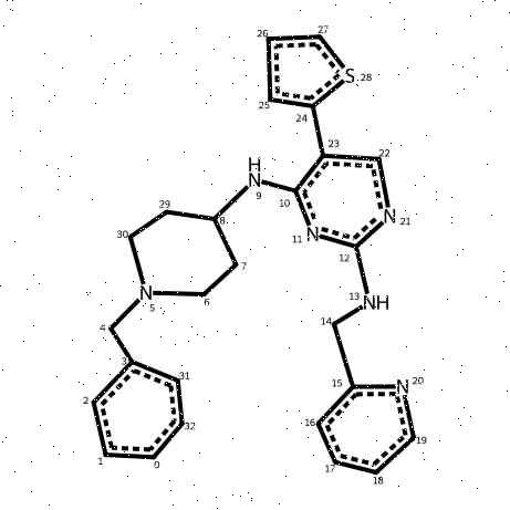 c1ccc(CN2CCC(Nc3nc(NCc4ccccn4)ncc3-c3cccs3)CC2)cc1